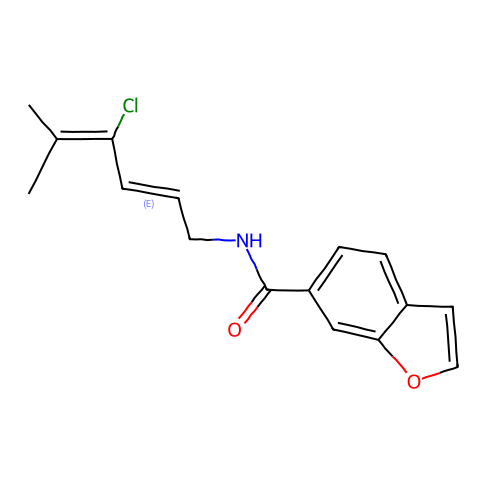 CC(C)=C(Cl)/C=C/CNC(=O)c1ccc2ccoc2c1